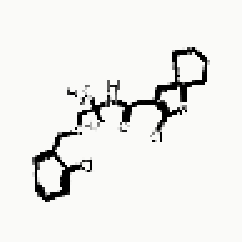 CC(C)(COCc1ccccc1Cl)NC(=O)c1cc2c(nc1Cl)CCCC2